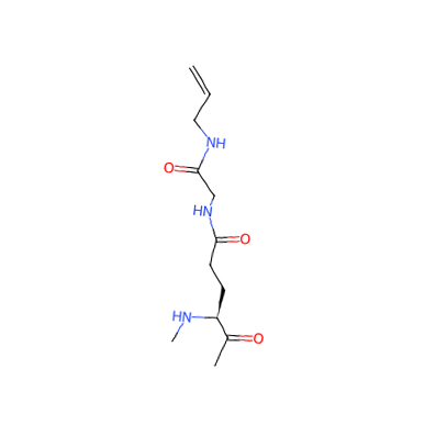 C=CCNC(=O)CNC(=O)CC[C@H](NC)C(C)=O